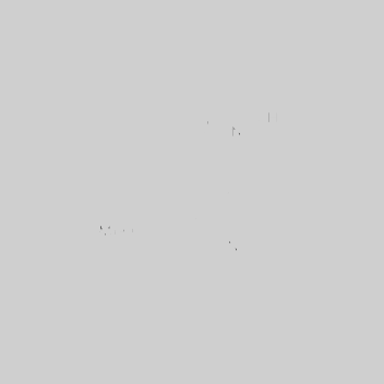 CCN1C[C@@H](CCN(C)C)c2cc(OC)ccc21